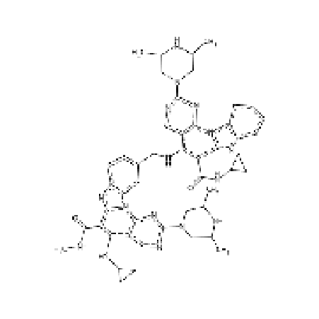 CNC(=O)c1c(NC2CC2)c2cnc(N3CC(C)NC(C)C3)nc2n2c1nc1ccc(CNc3c(C(=O)NC4CC4)c4nc5ccccc5n4c4nc(N5CC(C)NC(C)C5)ncc34)cc12